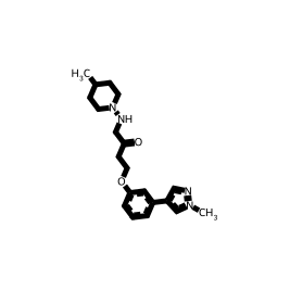 CC1CCN(NCC(=O)CCOc2c[c]cc(-c3cnn(C)c3)c2)CC1